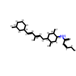 C=C(/C=C\CC)NC1CC(C)C(C/C=C(C)/C=C/C2CCCC(C)C2)CC1C